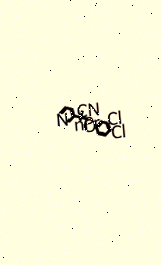 CCCC(C#N)(COc1ccc(Cl)c(Cl)c1)c1cccnc1